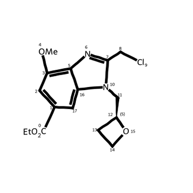 CCOC(=O)c1cc(OC)c2nc(CCl)n(C[C@@H]3CCO3)c2c1